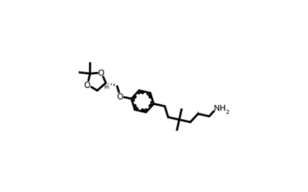 CC(C)(C[CH]CN)CCc1ccc(OC[C@@H]2COC(C)(C)O2)cc1